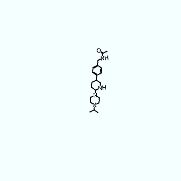 CC(=O)NCc1ccc(C2CCC(N3CCN(C(C)C)CC3)NC2)cc1